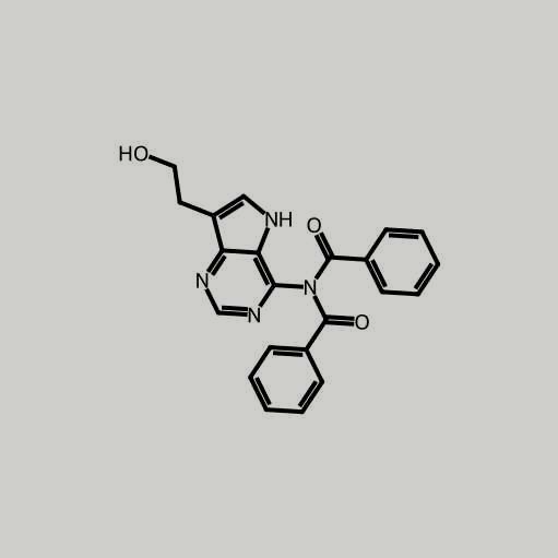 O=C(c1ccccc1)N(C(=O)c1ccccc1)c1ncnc2c(CCO)c[nH]c12